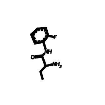 CCC(N)C(=O)Nc1ccccc1F